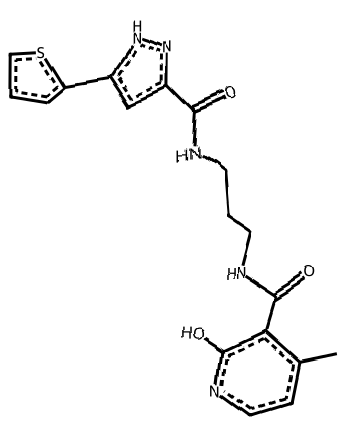 Cc1ccnc(O)c1C(=O)NCCCNC(=O)c1cc(-c2cccs2)[nH]n1